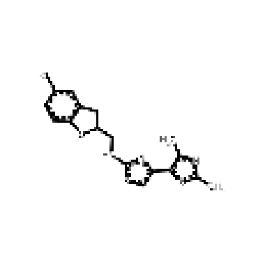 Cc1nc(C)c(-c2csc(NCC3Cc4cc(Cl)ccc4O3)n2)s1